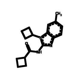 Cc1ccc2nc(NC(=O)C3CCC3)n(C3CCC3)c2c1